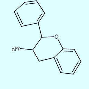 CCCC1Cc2ccccc2OC1c1ccccc1